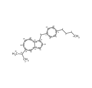 CCCCc1ccc(Cc2ccc3cc(C(C)C)cccc2-3)cc1